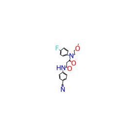 COCCN(C(=O)CC(=O)Nc1ccc(C#N)cc1)c1ccc(F)cc1